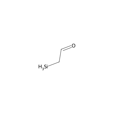 O=CC[SiH3]